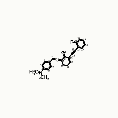 CN(C)c1ccc(C=C=C2CCC=C(C#Cc3ccccc3F)C2=O)cc1